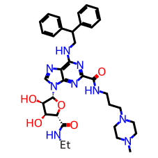 CCNC(=O)[C@H]1O[C@@H](n2cnc3c(NCC(c4ccccc4)c4ccccc4)nc(C(=O)NCCCN4CCN(C)CC4)nc32)[C@H](O)[C@@H]1O